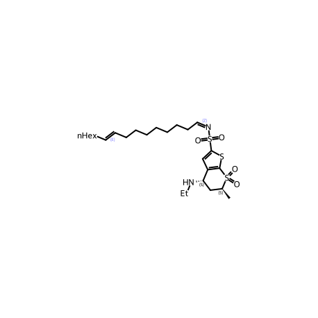 CCCCCC/C=C/CCCCCCC/C=N\S(=O)(=O)c1cc2c(s1)S(=O)(=O)[C@@H](C)C[C@@H]2NCC